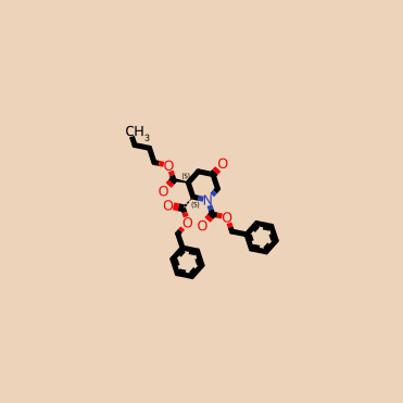 CCCCOC(=O)[C@H]1CC(=O)CN(C(=O)OCc2ccccc2)[C@@H]1C(=O)OCc1ccccc1